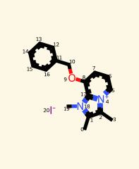 Cc1c(C)[n+]2cccc(OCc3ccccc3)c2n1C.[I-]